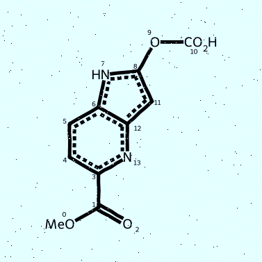 COC(=O)c1ccc2[nH]c(OC(=O)O)cc2n1